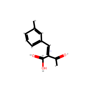 CC(=O)/C(=C/c1cccc(C)c1)C(=O)O